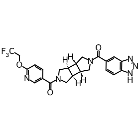 O=C(c1ccc(OCC(F)(F)F)nc1)N1C[C@@H]2[C@H](C1)[C@H]1CN(C(=O)c3ccc4[nH]nnc4c3)C[C@@H]21